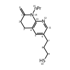 C=C1CCc2cc(CCCS)cnc2N1CCC